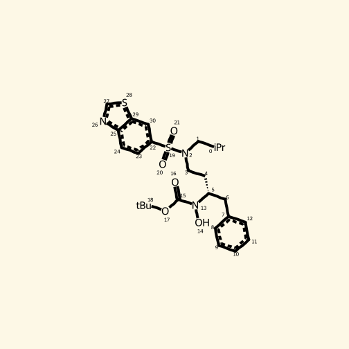 CC(C)CN(CC[C@H](Cc1ccccc1)N(O)C(=O)OC(C)(C)C)S(=O)(=O)c1ccc2ncsc2c1